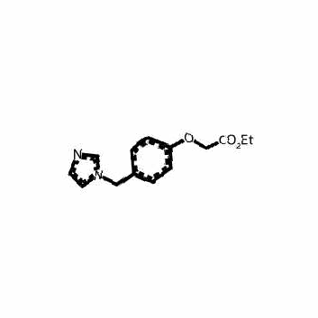 CCOC(=O)COc1ccc(Cn2ccnc2)cc1